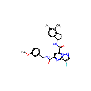 CC(=O)c1ccc2c(c1C)CC[C@@H]2NC(=O)c1cc(C(=O)NCc2cccc(OC(F)(F)F)c2)nc2c(F)cnn12